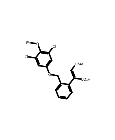 COC=C(C(=O)O)c1ccccc1COc1cc(Cl)c(OC(C)C)c(Cl)c1